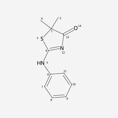 CC1(C)SC(Nc2ccccc2)=NC1=O